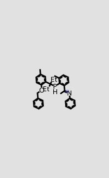 CCC(CC)(Pc1c(C)cccc1/C(C)=N/c1ccccc1)c1cc(C)ccc1OCc1ccccc1